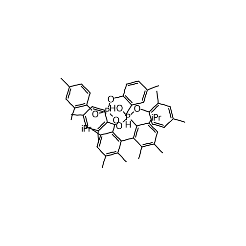 Cc1ccc(OP(Oc2ccc(C)cc2C)Oc2c(C(C)C)cc(C)c(C)c2-c2c(C)c(C)cc(C(C)C)c2[PH](O)(Oc2ccc(C)cc2C)Oc2ccc(C)cc2C)c(C)c1